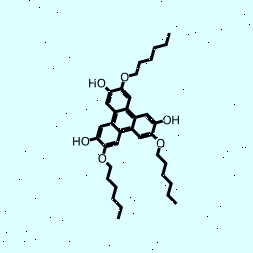 CCCCCCOc1cc2c(cc1O)c1cc(O)c(OCCCCCC)cc1c1cc(OCCCCCC)c(O)cc21